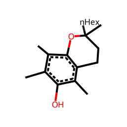 CCCCCCC1(C)CCc2c(C)c(O)c(C)c(C)c2O1